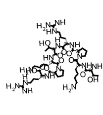 CC(O)[C@H](NC(=O)[C@H](CCCNC(=N)N)NC(=O)[C@@H]1CCCN1C(=O)[C@H](CCCCN)NC(=O)[C@H](N)C(C)O)C(=O)N[C@@H](CCCCN)C(=O)N1CCC[C@H]1C(=O)N[C@H](CCCNC(=N)N)C(=O)O